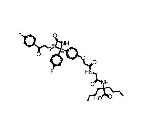 CCCCC(CCCC)(NC(=O)CNC(=O)COc1ccc([C@]2(c3ccc(F)cc3)NC(=O)[C@@H]2SCC(=O)c2ccc(F)cc2)cc1)C(=O)O